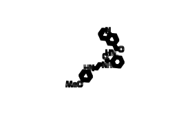 COc1ccc(NCCNC(=O)[C@@H]2CCCC[C@@H]2NC(=O)c2ccc3ncccc3c2)cc1